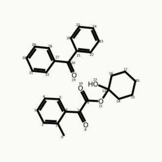 Cc1ccccc1C(=O)C(=O)OC1(O)CCCCC1.O=C(c1ccccc1)c1ccccc1